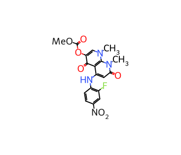 COC(=O)Oc1cn(C)c2c(c(Nc3ccc([N+](=O)[O-])cc3F)cc(=O)n2C)c1=O